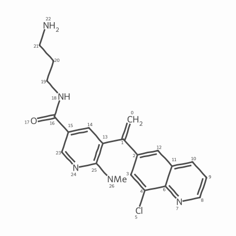 C=C(c1cc(Cl)c2ncccc2c1)c1cc(C(=O)NCCCN)cnc1NC